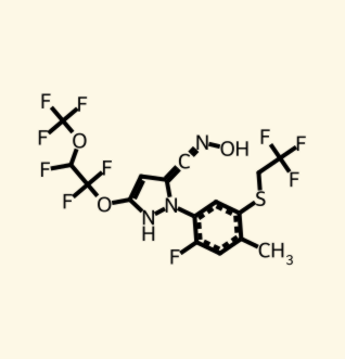 Cc1cc(F)c(N2NC(OC(F)(F)C(F)OC(F)(F)F)=CC2=C=NO)cc1SCC(F)(F)F